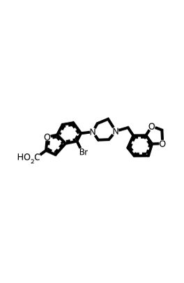 O=C(O)c1cc2c(Br)c(N3CCN(Cc4cccc5c4OCO5)CC3)ccc2o1